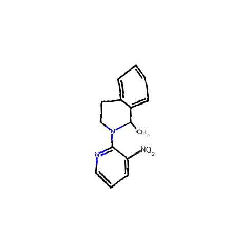 CC1c2ccccc2CCN1c1ncccc1[N+](=O)[O-]